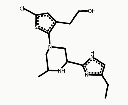 CCc1c[nH]c(C2CN(c3sc(Cl)cc3CCO)CC(C)N2)n1